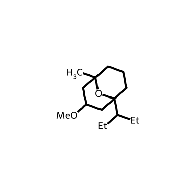 CCC(CC)C12CCCC(C)(CC(OC)C1)O2